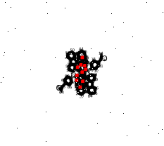 C1=c2ccccc2=C(N(c2ccc(C3CO3)cc2)c2ccc3c(c2)C2(c4ccccc4-c4ccc(-c5ccc6c(c5)C5(c7ccccc7-6)c6ccccc6-c6ccc(N(c7ccc(C8CO8)cc7)c7cccc8ccccc78)cc65)cc42)c2ccccc2-3)CC1